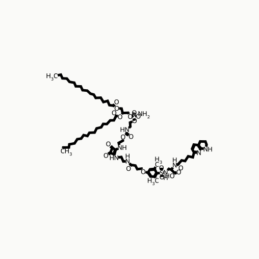 CCCCCCCCCCCCCCCCCC(=O)OCC(COP(=O)(ON)OCCNC(=O)OCCNc1c(NCCNC(=O)CCCOc2cc(C)c(S(=O)(=O)NCC(NC(=O)CCCCc3ccc4c(n3)NCCC4)C(=O)O)c(C)c2)c(=O)c1=O)OC(=O)CCCCCCCCCCCCCCCCC